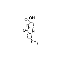 Cc1ccc2c(=O)n3nc(C(=O)O)ccc3nc2c1